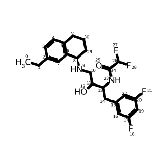 CCc1ccc2c(c1)[C@H](NCC(O)C(Cc1cc(F)cc(F)c1)NC(=O)C(F)F)CCC2